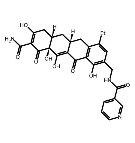 CCc1cc(CNC(=O)c2cccnc2)c(O)c2c1C[C@H]1C[C@H]3CC(O)=C(C(N)=O)C(=O)[C@@]3(O)C(O)=C1C2=O